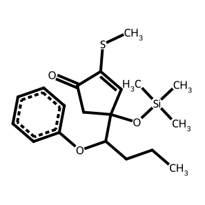 CCCC(Oc1ccccc1)C1(O[Si](C)(C)C)C=C(SC)C(=O)C1